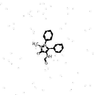 Cn1c(=O)c(NC=O)c(-c2ccccc2)n1-c1ccccc1